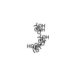 CCN(O)P(=O)(O)C(C)CON(C)P(=O)(O)C(C)CONP(=O)(O)C(C)C